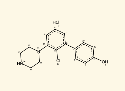 Cl.Oc1ccc(-c2cccc(N3CCNCC3)c2Cl)cc1